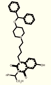 CCCC(C(=O)O)n1c(=O)c2cc(O)ccc2n(CCCCN2CCC(OC(c3ccccc3)c3ccccc3)CC2)c1=O